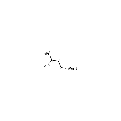 CCCCCCC[CH]([Zn])CCCC